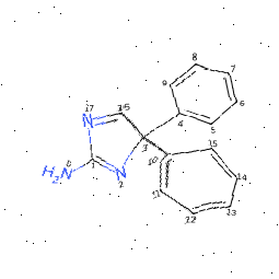 NC1=NC(c2ccccc2)(c2ccccc2)C=N1